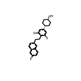 CCC[C@H]1CC[C@H](c2cc(F)c(CCc3ccc4cc(F)ccc4c3)c(F)c2)CC1